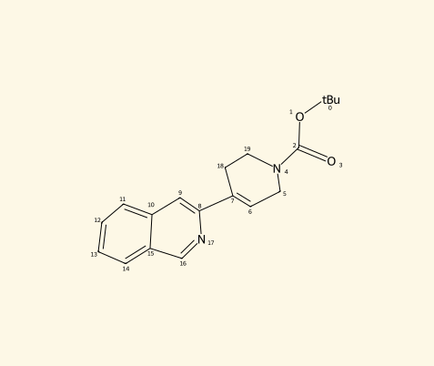 CC(C)(C)OC(=O)N1CC=C(c2cc3ccccc3cn2)CC1